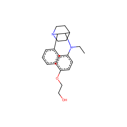 CCN(c1ccc(OCCO)cc1)C1C2CCN(CC2)C1c1ccccc1